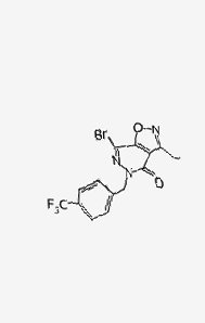 Cc1noc2c(Br)nn(Cc3ccc(C(F)(F)F)cc3)c(=O)c12